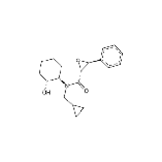 O=C([C@@H]1O[C@H]1c1ccccc1)N(CC1CC1)[C@@H]1CCCC[C@H]1O